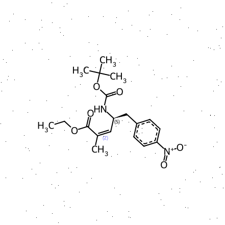 CCOC(=O)/C(C)=C\[C@H](Cc1ccc([N+](=O)[O-])cc1)NC(=O)OC(C)(C)C